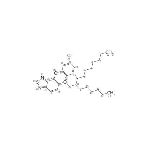 CCCCCCCCC(CCCCCC)COc1ccc2nsnc2c1Oc1ccccc1.[C]